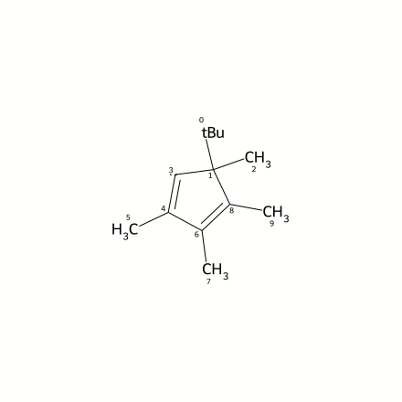 [CH2]C(C)(C)C1(C)[C]=C(C)C(C)=C1C